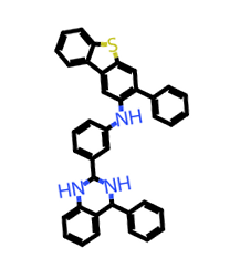 c1ccc(-c2cc3sc4ccccc4c3cc2Nc2cccc(C3Nc4ccccc4C(c4ccccc4)N3)c2)cc1